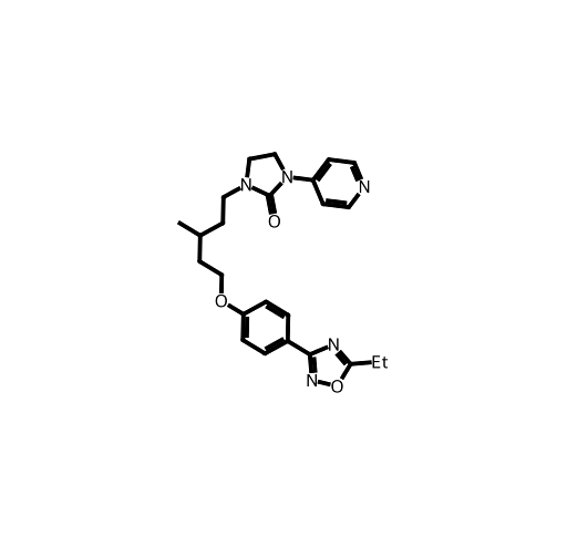 CCc1nc(-c2ccc(OCCC(C)CCN3CCN(c4ccncc4)C3=O)cc2)no1